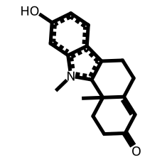 Cn1c2c(c3ccc(O)cc31)CCC1=CC(=O)CCC12C